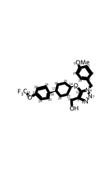 COc1ccc(Cn2nnc(CO)c2O[C@H]2CC[C@H](c3ccc(OC(F)(F)F)cc3)CC2)cc1